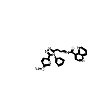 CCOc1ccc(-c2nnc(CCCNC(=O)c3ccnc4cccnc34)n2-c2ccccc2)nc1